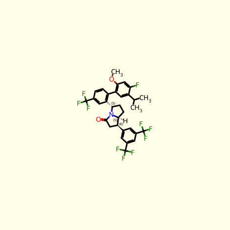 COc1cc(F)c(C(C)C)cc1-c1ccc(C(F)(F)F)cc1[C@@H]1CC[C@H]2[C@@H](c3cc(C(F)(F)F)cc(C(F)(F)F)c3)CC(=O)N12